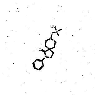 CC(C)(C)[Si](C)(C)OC1CCC2(CC1)CCN(c1ccccc1)C2=O